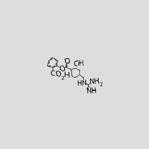 Cl.N=C(N)NCC1CCC(C(=O)Oc2ccccc2C(=O)O)CC1